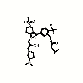 CC(C)CC(=O)NCc1cc(-c2nn(CC(O)CN3CCC(N(C)C)C3)c3c2CN(S(C)(=O)=O)CC3)ccc1C(F)(F)F